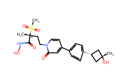 C[C@@](CCn1ccc(-c2ccc([C@H]3C[C@@](C)(O)C3)cc2)cc1=O)(C(=O)NO)S(C)(=O)=O